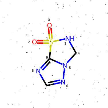 O=S1(=O)NCn2ncnc21